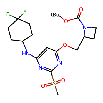 CC(C)(C)OC(=O)N1CCC1COc1cc(NC2CCC(F)(F)CC2)nc(S(C)(=O)=O)n1